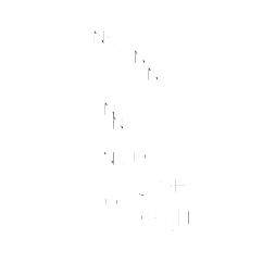 CC1(C)CN(c2ccn(-c3cnnc(C#N)c3)n2)C(=O)[C@@H](C(O)C(=O)O)O1